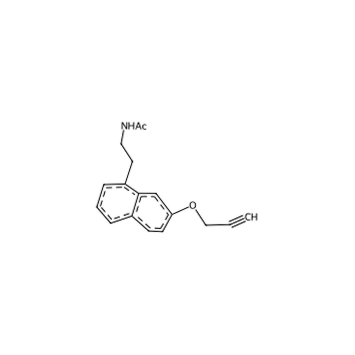 C#CCOc1ccc2cccc(CCNC(C)=O)c2c1